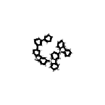 c1ccc(-c2cccc(-c3ccc4oc5ccc(-n6c7ccccc7c7cc(-n8c9ccccc9c9ccccc98)ccc76)cc5c4c3)c2)cc1